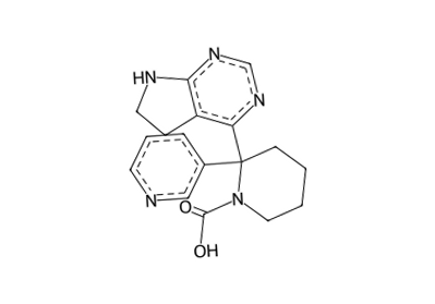 O=C(O)N1CCCCC1(c1cccnc1)c1ncnc2c1CCN2